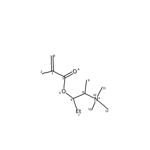 C=C(C)C(=O)OC(CC)C(C)[N+](C)(C)C